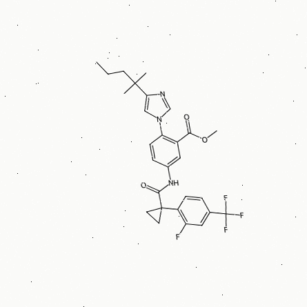 CCCC(C)(C)c1cn(-c2ccc(NC(=O)C3(c4ccc(C(F)(F)F)cc4F)CC3)cc2C(=O)OC)cn1